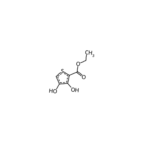 CCOC(=O)c1scc(O)c1O